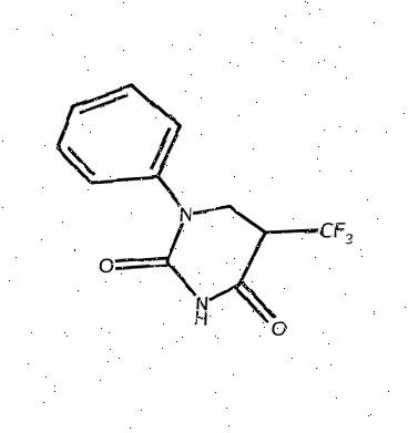 O=C1NC(=O)N(c2ccccc2)CC1C(F)(F)F